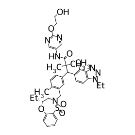 CC[C@@H]1CN(Cc2cc(C(c3ccc4c(nnn4CC)c3C)C(C)(C)C(=O)Nc3cnc(OCCO)nc3)ccc2C)S(=O)(=O)c2ccccc2O1